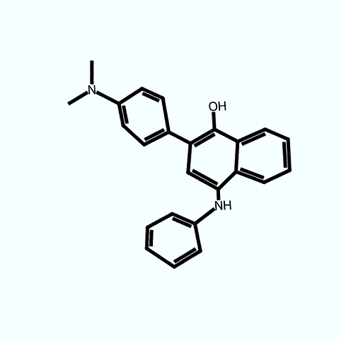 CN(C)c1ccc(-c2cc(Nc3ccccc3)c3ccccc3c2O)cc1